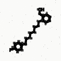 OCc1ccccc1CCCCCCCSc1ccc(F)cc1